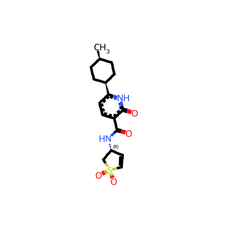 C[C@H]1CC[C@@H](c2ccc(C(=O)N[C@@H]3C=CS(=O)(=O)C3)c(=O)[nH]2)CC1